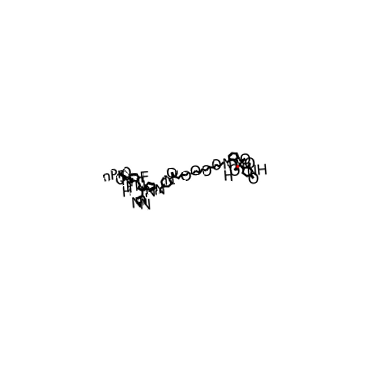 CCCS(=O)(=O)Nc1ccc(F)c(-n2cc(-c3cncnc3)c3nc(N(C)C4CCN(C(=O)CCOCCOCCOCCOCCNc5cccc6c5C(=O)N(C5CCC(=O)NC5=O)C6=O)CC4)ccc32)c1F